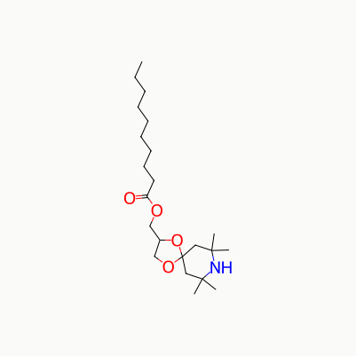 CCCCCCCCCC(=O)OCC1COC2(CC(C)(C)NC(C)(C)C2)O1